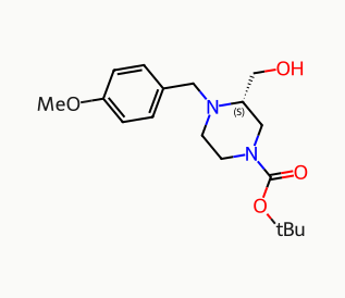 COc1ccc(CN2CCN(C(=O)OC(C)(C)C)C[C@H]2CO)cc1